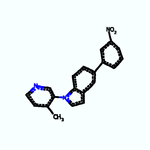 Cc1ccncc1-n1ccc2cc(-c3cccc([N+](=O)[O-])c3)ccc21